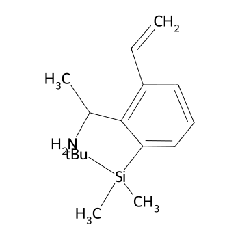 C=Cc1cccc([Si](C)(C)C(C)(C)C)c1C(C)N